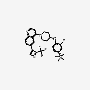 C[SH](C)(C)(C)c1ccc(OC2CCN(c3ccnc4ccc(C5=CN=C5C(F)(F)F)cc34)CC2)c(F)c1